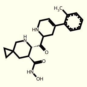 Cc1ccccc1C1=CCNC(C(=O)[C@H]2NCC3(CC3)C[C@@H]2C(=O)NO)C1